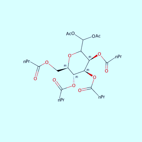 CCCC(=O)OC[C@H]1O[C](C(OC(C)=O)OC(C)=O)[C@@H](OC(=O)CCC)[C@@H](OC(=O)CCC)[C@@H]1OC(=O)CCC